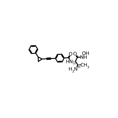 C[C@@H](N)[C@H](NC(=O)c1ccc(C#CC2CC2c2ccccc2)cc1)C(=O)NO